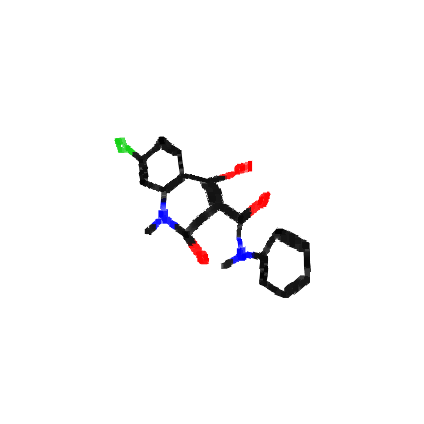 CN(C(=O)c1c(O)c2ccc(Cl)cc2n(C)c1=O)c1ccccc1